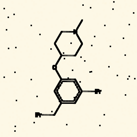 CC(C)Cc1cc(OC2CCN(C)CC2)cc(C(C)C)c1